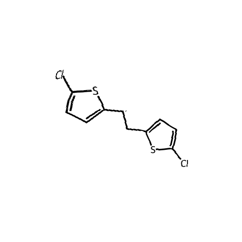 Clc1ccc([CH]Cc2ccc(Cl)s2)s1